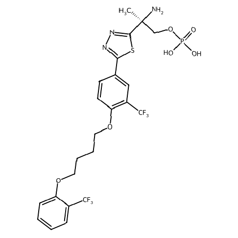 C[C@](N)(COP(=O)(O)O)c1nnc(-c2ccc(OCCCCOc3ccccc3C(F)(F)F)c(C(F)(F)F)c2)s1